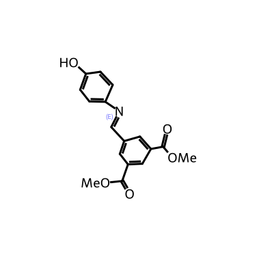 COC(=O)c1cc(/C=N/c2ccc(O)cc2)cc(C(=O)OC)c1